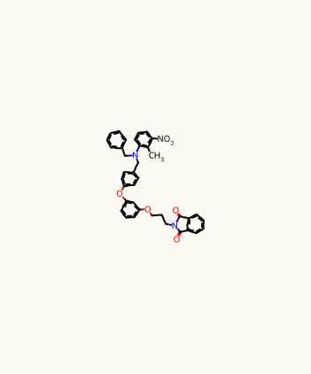 Cc1c(N(Cc2ccccc2)Cc2ccc(Oc3cccc(OCCCN4C(=O)c5ccccc5C4=O)c3)cc2)cccc1[N+](=O)[O-]